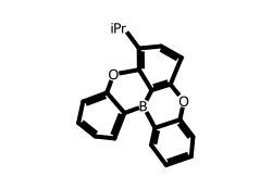 CC(C)c1ccc2c3c1Oc1ccccc1B3c1ccccc1O2